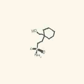 NS(=O)(=O)CCC1(CO)CCCCC1